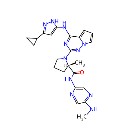 CNc1cnc(NC(=O)[C@]2(C)CCCN2c2nc(Nc3cc(C4CC4)n[nH]3)c3cccn3n2)cn1